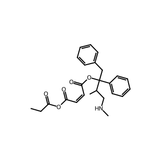 CCC(=O)OC(=O)/C=C\C(=O)OC(Cc1ccccc1)(c1ccccc1)C(C)CNC